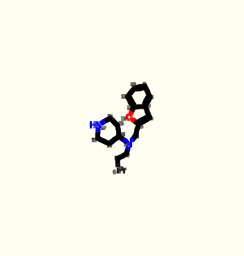 CC(C)CCN(Cc1cc2ccccc2o1)C1CCNCC1